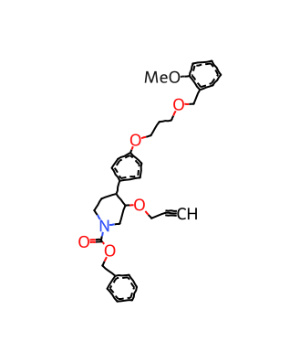 C#CCOC1CN(C(=O)OCc2ccccc2)CCC1c1ccc(OCCCOCc2ccccc2OC)cc1